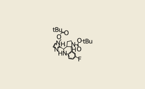 CC(C)(C)OC(=O)N1CC[C@@H]2[C@H](c3nccn3COC(=O)C(C)(C)C)Nc3ccc(F)cc3[C@@H]21